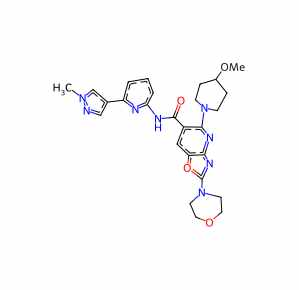 COC1CCN(c2nc3nc(N4CCOCC4)oc3cc2C(=O)Nc2cccc(-c3cnn(C)c3)n2)CC1